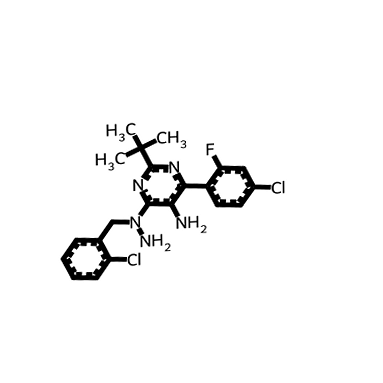 CC(C)(C)c1nc(-c2ccc(Cl)cc2F)c(N)c(N(N)Cc2ccccc2Cl)n1